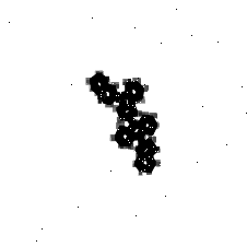 c1ccc2cc(-c3c4ccccc4c(-c4ccc5c(c4)c4ccccc4n5-c4cnc5ccccc5c4)c4ccccc34)ccc2c1